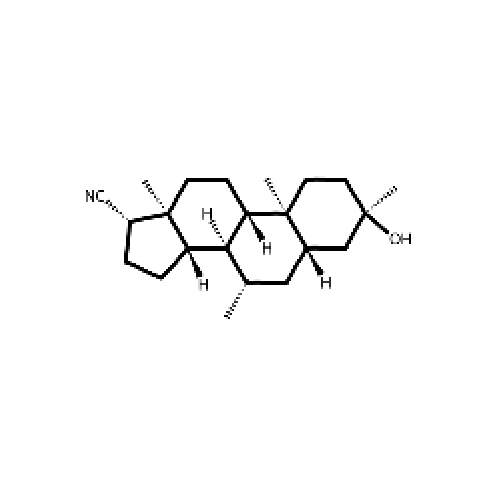 C[C@H]1C[C@H]2C[C@](C)(O)CC[C@]2(C)[C@H]2CC[C@]3(C)[C@@H](C#N)CC[C@H]3[C@H]12